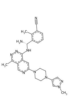 Cc1c(C#N)cccc1[C@@H](N)Nc1nnc(C)c2cnc(N3CCN(c4cnn(C)c4)CC3)cc12